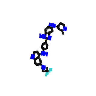 Cc1cc(Nc2ccc3[nH]c(-c4ccc(Nc5ccnc6ccc(N7CC(F)(F)C7)cc56)cc4)nc3c2)ccn1